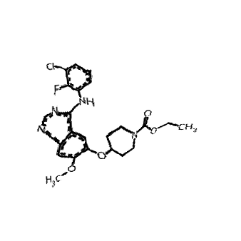 CCOC(=O)N1CCC(Oc2cc3c(Nc4cccc(Cl)c4F)ncnc3cc2OC)CC1